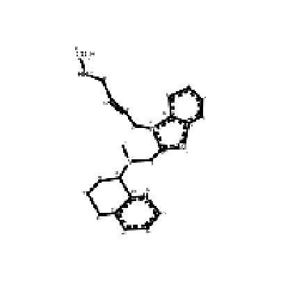 CN(Cc1nc2ccccc2n1CC=CCNC(=O)O)C1CCCc2cccnc21